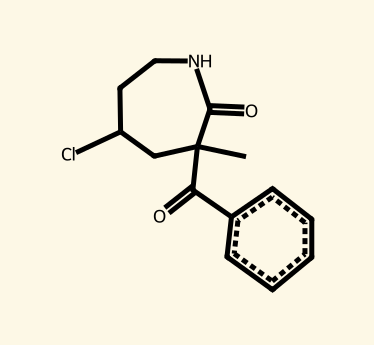 CC1(C(=O)c2ccccc2)CC(Cl)CCNC1=O